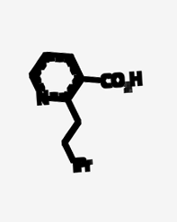 CC(C)CCc1ncccc1C(=O)O